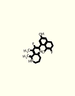 C=C1NCCCc2nc(-c3cc(O)cc4c3C(Cl)=C(F)CC4)c(F)c(C)c21